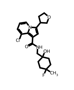 CC1(F)CCC(O)(CNC(=O)c2cc(C3CCOC3)n3cccc(Cl)c23)CC1